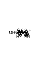 O=CNC1C(=O)N2C(C(=O)O)=C(COC(=O)N3CCC[C@H]3CO)C[S+]([O-])[C@@H]12